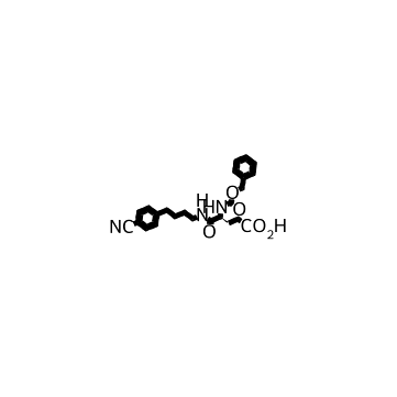 N#Cc1ccc(CCCCNC(=O)[C@@H](CCC(=O)O)NC(=O)OCc2ccccc2)cc1